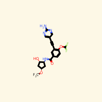 Nc1ncc(C#Cc2cc(C(=O)N[C@H]3C[C@H](OC(F)(F)F)C[C@@H]3O)ccc2OC(F)F)cn1